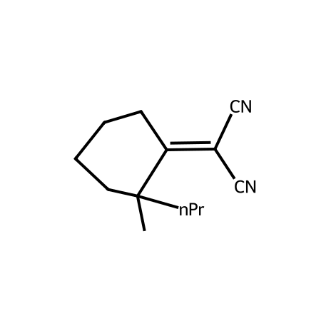 CCCC1(C)CCCCC1=C(C#N)C#N